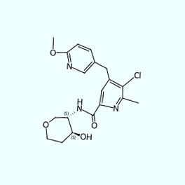 COc1ccc(Cc2cc(C(=O)N[C@H]3COCC[C@@H]3O)nc(C)c2Cl)cn1